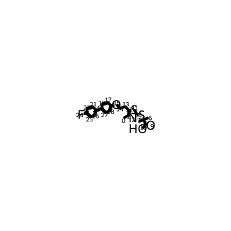 Cc1nc(SC(C)(C)C(=O)O)sc1CCOc1ccc(-c2ccc(F)cc2)cc1